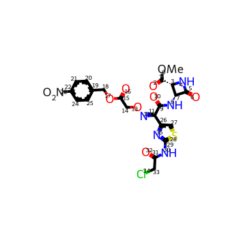 COC(=O)[C@@H]1NC(=O)[C@@H]1NC(=O)/C(=N\OCC(=O)OCc1ccc([N+](=O)[O-])cc1)c1csc(NC(=O)CCl)n1